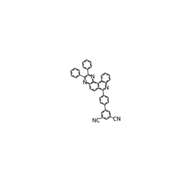 N#Cc1cc(C#N)cc(-c2ccc(-c3nc4ccccc4c4c3ccc3nc(-c5ccccc5)c(-c5ccccc5)nc34)cc2)c1